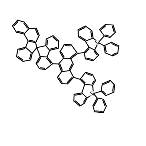 c1ccc([Si]2(c3ccccc3)c3ccccc3-c3c(-c4cccc5c(-c6cccc7c6-c6ccccc6C76c7ccccc7-c7c6ccc6ccccc76)c6cccc(-c7cccc8c7-c7ccccc7[Si]8(c7ccccc7)c7ccccc7)c6cc45)cccc32)cc1